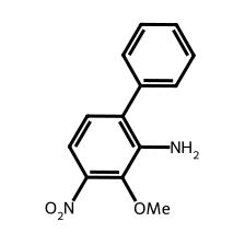 COc1c([N+](=O)[O-])ccc(-c2ccccc2)c1N